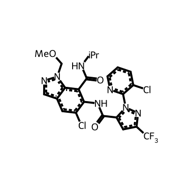 COCn1ncc2cc(Cl)c(NC(=O)c3cc(C(F)(F)F)nn3-c3ncccc3Cl)c(C(=O)NC(C)C)c21